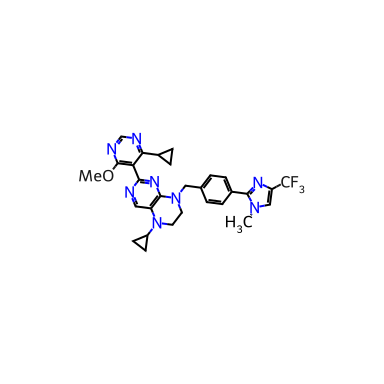 COc1ncnc(C2CC2)c1-c1ncc2c(n1)N(Cc1ccc(-c3nc(C(F)(F)F)cn3C)cc1)CCN2C1CC1